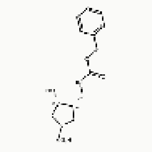 O=C(NC[C@@H]1CN(C(=O)O)C[C@@H]1O)OCc1ccccc1